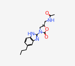 CCCc1ccc2[nH]c(N3C[C@@H](CNC(C)=O)OC3=O)nc2c1